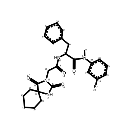 CN(C(=O)C(Cc1ccccc1)NC(=O)CN1C(=O)NC2(CCCCC2)C1=O)c1cccc(Br)c1